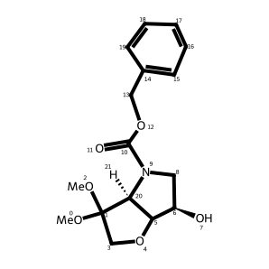 COC1(OC)COC2[C@H](O)CN(C(=O)OCc3ccccc3)[C@@H]21